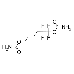 NC(=O)OCCCCC(F)(F)C(F)(F)OC(N)=O